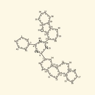 c1ccc(-c2nc(-c3ccc4ccc5c6ccccc6ccc5c4c3)nc(-c3cccc4c3oc3ccccc34)n2)cc1